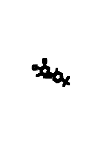 Cc1cc(C(C)(C)C)ccc1-c1cc(=O)c(Cl)c(C)[nH]1